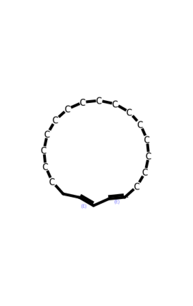 [C]1=C/C=C/CCCCCCCCCCCCCCCC/1